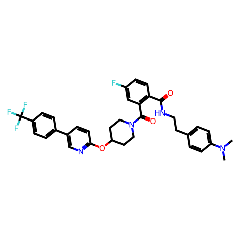 CN(C)c1ccc(CCNC(=O)c2ccc(F)cc2C(=O)N2CCC(Oc3ccc(-c4ccc(C(F)(F)F)cc4)cn3)CC2)cc1